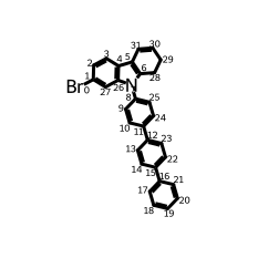 Brc1ccc2c3c(n(-c4ccc(-c5ccc(-c6ccccc6)cc5)cc4)c2c1)CCC=C3